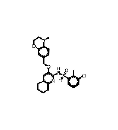 Cc1c(Cl)cccc1S(=O)(=O)Nc1nc2c(cc1OCc1ccc3c(c1)OCCN3C)CCCC2